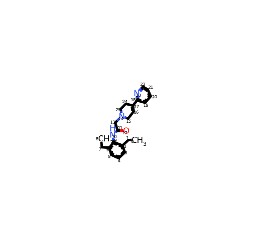 CCc1cccc(CC)c1NC(=O)CN1CC=C(c2ccccn2)CC1